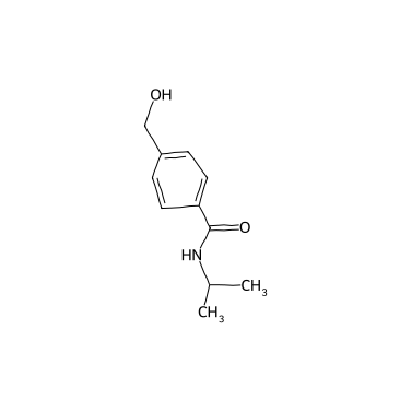 CC(C)NC(=O)c1ccc(CO)cc1